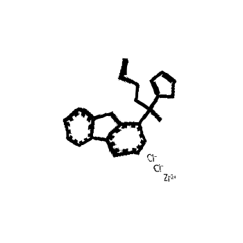 C=CCCC(C)(C1=CC=CC1)c1cccc2c1Cc1ccccc1-2.[Cl-].[Cl-].[Zr+2]